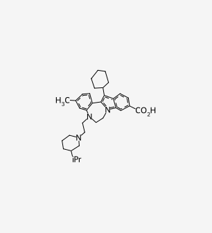 Cc1ccc2c(c1)N(CCN1CCCC(C(C)C)C1)CCn1c-2c(C2CCCCC2)c2ccc(C(=O)O)cc21